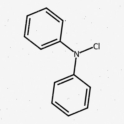 ClN(c1[c]cccc1)c1ccccc1